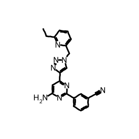 CCc1cccc(Cn2cc(-c3cc(N)nc(-c4cccc(C#N)c4)n3)nn2)n1